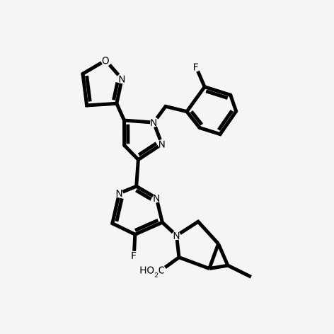 CC1C2CN(c3nc(-c4cc(-c5ccon5)n(Cc5ccccc5F)n4)ncc3F)C(C(=O)O)C12